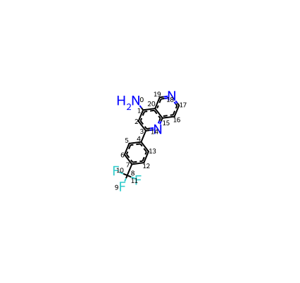 Nc1cc(-c2ccc(C(F)(F)F)cc2)nc2ccncc12